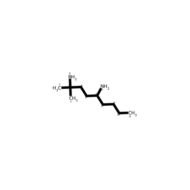 BC(C)(C)CCC(N)CCCC